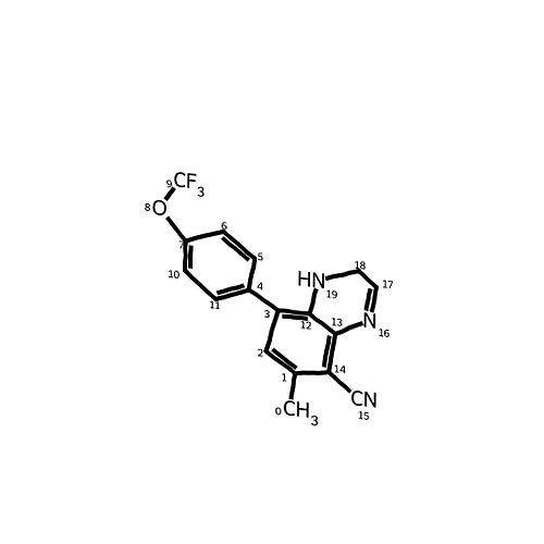 Cc1cc(-c2ccc(OC(F)(F)F)cc2)c2c(c1C#N)N=CCN2